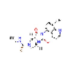 CC(C)CNC(=S)N1C[C@H]2CC1[C@H]1C(=O)N(c3ccc(C#N)c4ncccc34)C(=O)N21